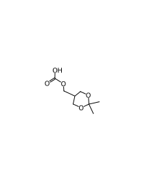 CC1(C)OCC(COC(=O)O)CO1